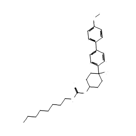 CCCCCCCCOC(=O)OC1CCC(O)(c2ccc(-c3ccc(OC)cc3)cc2)CC1